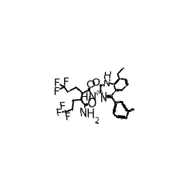 CCc1cccc2c1NC(=O)[C@@H](NC(=O)C(CCC(F)(F)F)C(CCC(F)(F)F)C(N)=O)N=C2c1cccc(C)c1